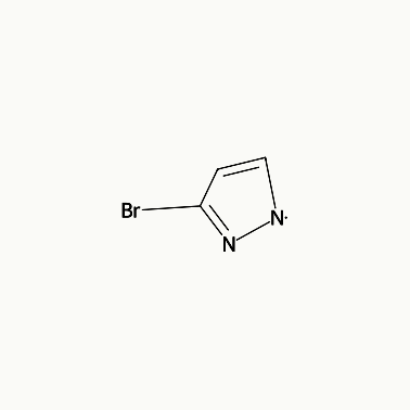 BrC1=N[N]C=C1